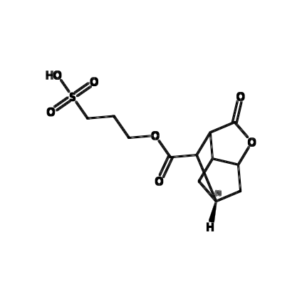 O=C1OC2C[C@@H]3CC2C1C3C(=O)OCCCS(=O)(=O)O